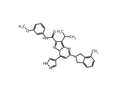 COc1cccc(NC(=O)c2nn3c(-c4cn[nH]c4)cc(N4Cc5cccc(C)c5C4)nc3c2C(C)C)c1